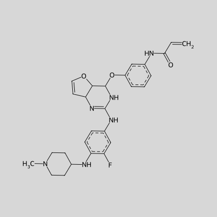 C=CC(=O)Nc1cccc(OC2NC(Nc3ccc(NC4CCN(C)CC4)c(F)c3)=NC3C=COC32)c1